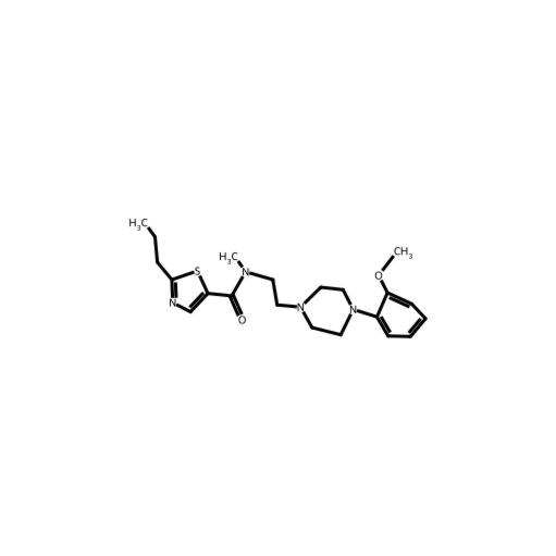 CCCc1ncc(C(=O)N(C)CCN2CCN(c3ccccc3OC)CC2)s1